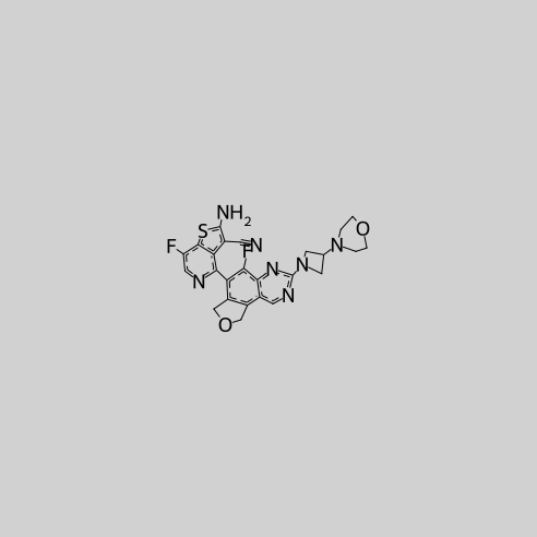 N#Cc1c(N)sc2c(F)cnc(-c3c4c(c5cnc(N6CC(N7CCOCC7)C6)nc5c3F)COC4)c12